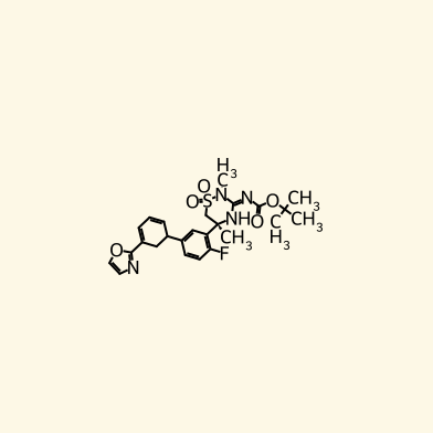 CN1/C(=N/C(=O)OC(C)(C)C)N[C@](C)(c2cc(C3C=CC=C(c4ncco4)C3)ccc2F)CS1(=O)=O